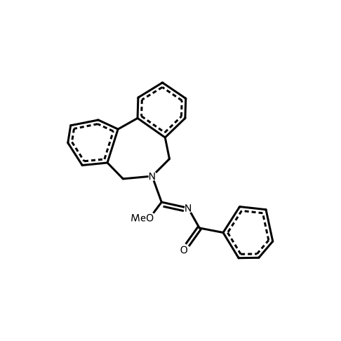 COC(=NC(=O)c1ccccc1)N1Cc2ccccc2-c2ccccc2C1